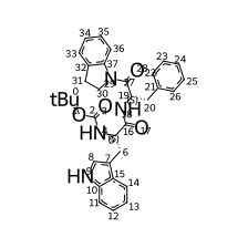 CC(C)(C)OC(=O)N[C@@H](Cc1c[nH]c2ccccc12)C(=O)N[C@@H](Cc1ccccc1)C(=O)N1CCc2ccccc21